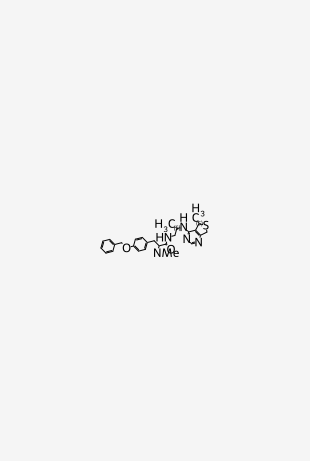 CNC(Cc1ccc(OCc2ccccc2)cc1)C(=O)NC[C@H](C)Nc1ncnc2c1[C@H](C)SC2